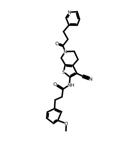 COc1cccc(CCC(=O)Nc2sc3c(c2C#N)CCN(C(=O)CCc2cccnc2)C3)c1